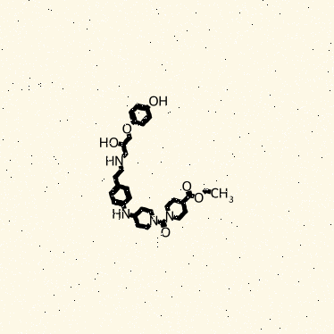 CCOC(=O)C1CCN(C(=O)N2CCC(Nc3ccc(CCNCC(O)COc4ccc(O)cc4)cc3)CC2)CC1